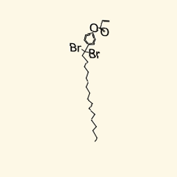 C=CC(=O)Oc1ccc(C(Br)(Br)CCCCCCCCCCCCCCCCC)cc1